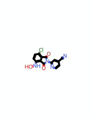 N#Cc1ccnc(N2C(=O)c3c(Cl)ccc(NO)c3C2=O)c1